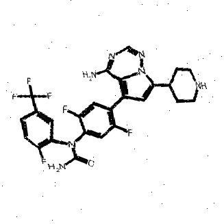 NC(=O)N(c1cc(C(F)(F)F)ccc1F)c1cc(F)c(-c2cc(C3CCNCC3)n3ncnc(N)c23)cc1F